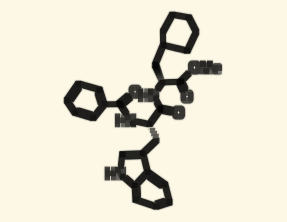 COC(=O)[C@H](CC1CCCCC1)NC(=O)[C@H](Cc1c[nH]c2ccccc12)NC(=O)c1ccccc1